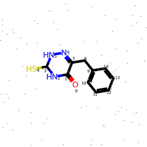 O=C1NC(S)NN=C1Cc1ccccc1